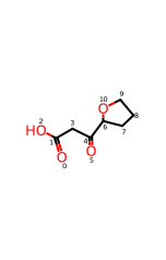 O=C(O)CC(=O)C1CCCO1